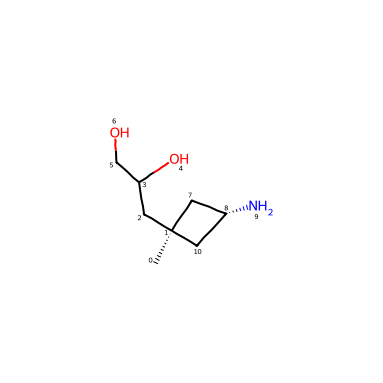 C[C@]1(CC(O)CO)C[C@H](N)C1